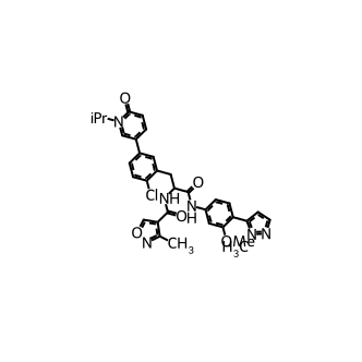 COc1cc(NC(=O)C(Cc2cc(-c3ccc(=O)n(C(C)C)c3)ccc2Cl)NC(=O)c2conc2C)ccc1-c1ccnn1C